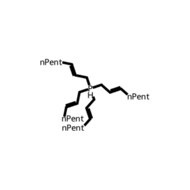 CCCCC/C=C/C[PH](C/C=C/CCCCC)(C/C=C/CCCCC)C/C=C/CCCCC